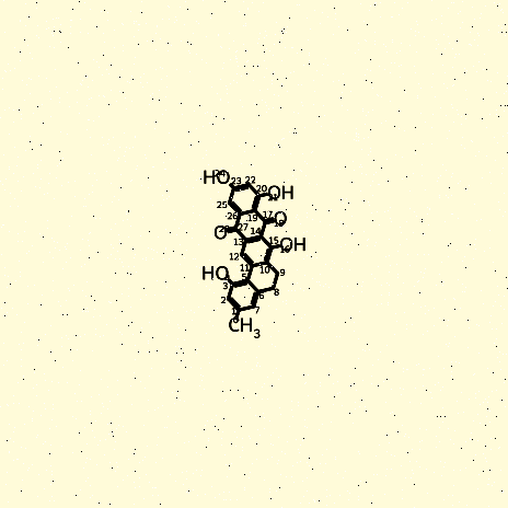 Cc1cc(O)c2c(c1)CCc1c-2cc2c(c1O)C(=O)c1c(O)cc(O)cc1C2=O